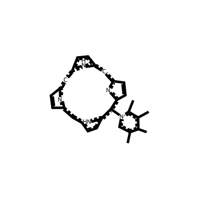 Cc1c[n+](-c2c3nc(cc4ccc(cc5nc(cc6ccc2[nH]6)C=C5)[nH]4)C=C3)c(C)c(C)c1C